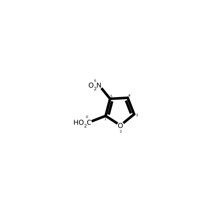 O=C(O)c1occc1[N+](=O)[O-]